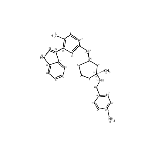 Cc1cnc(N[C@@H]2CCC[C@](C)(NCc3ccc(N)cn3)C2)nc1-c1c[nH]c2ccccc12